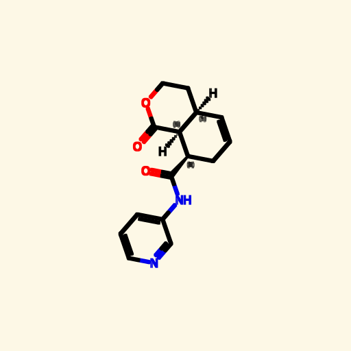 O=C1OCC[C@H]2C=CC[C@@H](C(=O)Nc3cccnc3)[C@@H]12